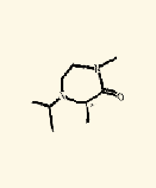 CC(C)N1CCN(C)C(=O)[C@H]1C